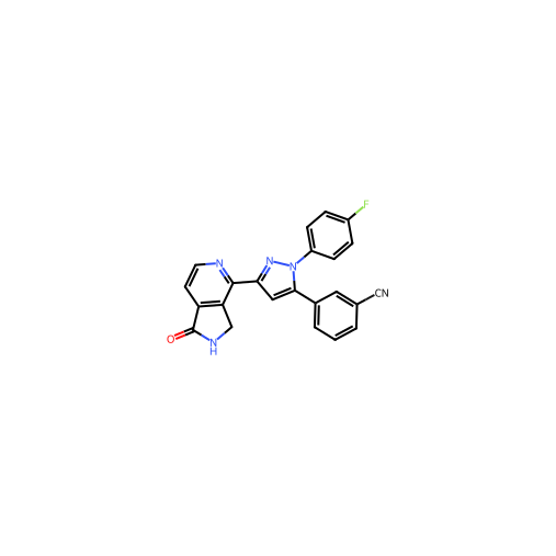 N#Cc1cccc(-c2cc(-c3nccc4c3CNC4=O)nn2-c2ccc(F)cc2)c1